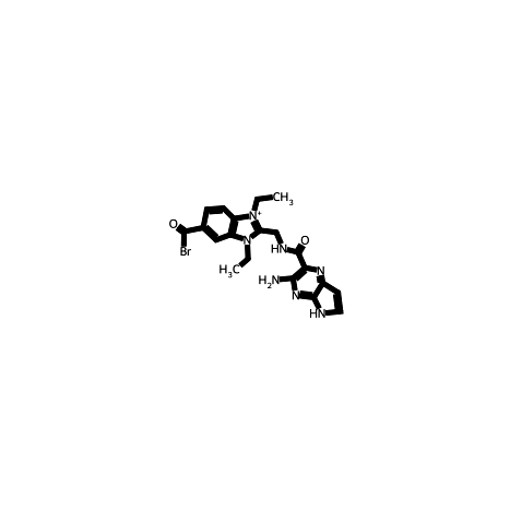 CCn1c(CNC(=O)c2nc3cc[nH]c3nc2N)[n+](CC)c2ccc(C(=O)Br)cc21